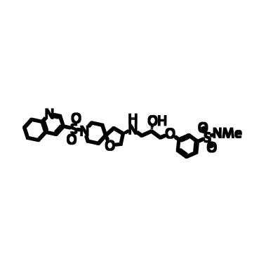 CNS(=O)(=O)c1cccc(OC[C@@H](O)CN[C@H]2COC3(CCN(S(=O)(=O)c4cnc5c(c4)CCCC5)CC3)C2)c1